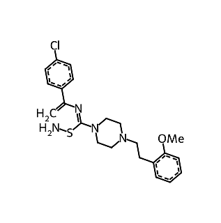 C=C(/N=C(\SN)N1CCN(CCc2ccccc2OC)CC1)c1ccc(Cl)cc1